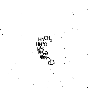 CNC(=O)Nc1nnc(S(=O)(=O)NCC2CCCO2)s1